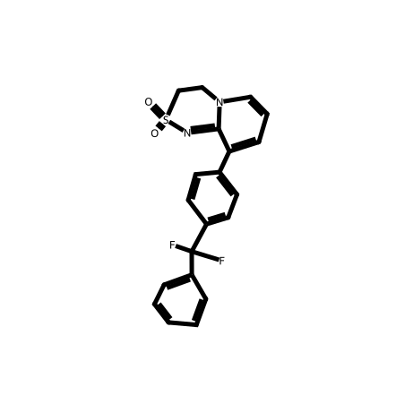 O=S1(=O)CCN2C=CC=C(c3ccc(C(F)(F)c4ccccc4)cc3)C2=N1